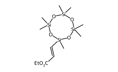 CCOC(=O)C=C[Si]1(C)O[Si](C)(C)O[Si](C)(C)O[Si](C)(C)O1